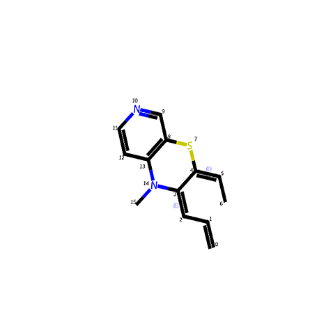 C=C/C=C1\C(=C/C)Sc2cnccc2N1C